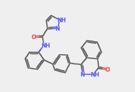 O=C(Nc1ccccc1-c1ccc(-c2n[nH]c(=O)c3ccccc23)cc1)c1cc[nH]n1